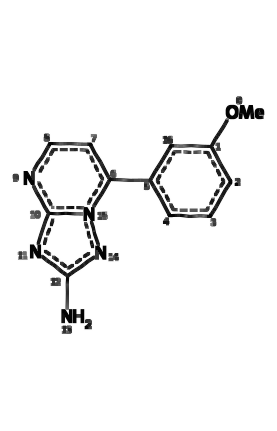 COc1cccc(-c2ccnc3nc(N)nn23)c1